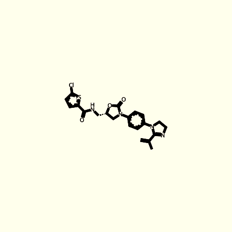 C=C(C)C1=NCCN1c1ccc(N2C[C@H](CNC(=O)c3ccc(Cl)s3)OC2=O)cc1